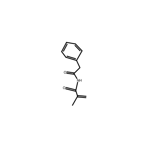 C=C(C)C(=O)NC(=O)Cc1ccccc1